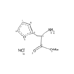 COC(=O)C(N)c1ccco1.Cl